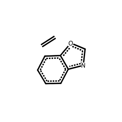 C=C.c1ccc2ocnc2c1